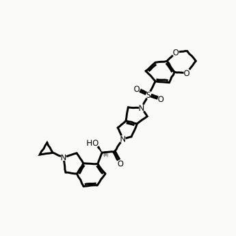 O=C([C@H](O)c1cccc2c1CN(C1CC1)C2)N1CC2=C(C1)CN(S(=O)(=O)c1ccc3c(c1)OCCO3)C2